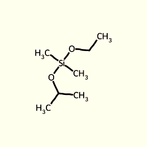 CCO[Si](C)(C)OC(C)C